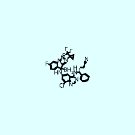 BC(Nc1cc(Cl)c2ncnc(N[C@H](CCC#N)c3ccccc3)c2c1)(c1ccc(F)cc1)c1cn(C2(C(F)(F)F)CC2)nn1